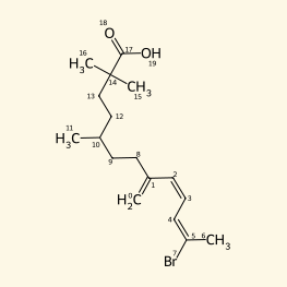 C=C(/C=C\C=C(/C)Br)CCC(C)CCC(C)(C)C(=O)O